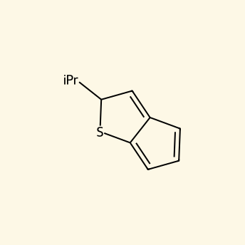 CC(C)C1C=C2C=CC=C2S1